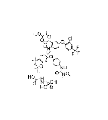 CCOC(=O)C(C)OC(=O)c1cc(Oc2ccc(C(F)(F)F)cc2Cl)ccc1[N+](=O)[O-].CON(C)C(=O)Nc1ccc(Oc2ccc3c(c2)OC(C)(OC)CC3(C)C)cc1.O=C(O)CNCP(=O)(O)O